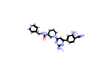 N#Cc1ccc(-c2cc(N3CCC[C@H](C(=O)NCc4ccncc4)C3)nc(N)n2)cc1N